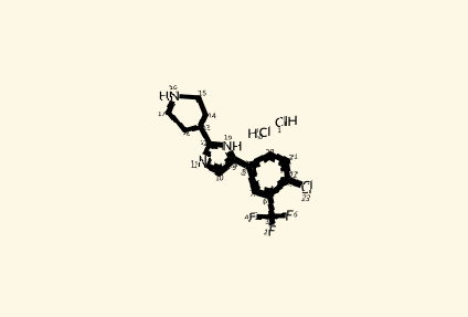 Cl.Cl.FC(F)(F)c1cc(-c2cnc(C3CCNCC3)[nH]2)ccc1Cl